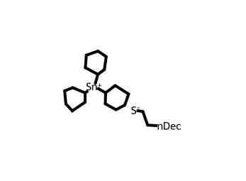 C1CC[CH]([Sn+]([CH]2CCCCC2)[CH]2CCCCC2)CC1.CCCCCCCCCCCC[S-]